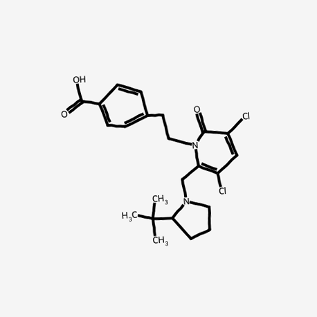 CC(C)(C)C1CCCN1Cc1c(Cl)cc(Cl)c(=O)n1CCc1ccc(C(=O)O)cc1